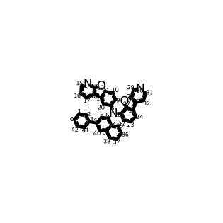 c1ccc(-c2cc(N(c3ccc4oc5ncccc5c4c3)c3cccc4c3oc3cnccc34)c3ccccc3c2)cc1